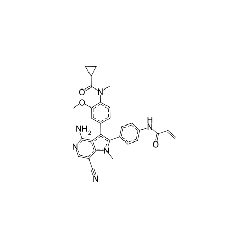 C=CC(=O)Nc1ccc(-c2c(-c3ccc(N(C)C(=O)C4CC4)c(OC)c3)c3c(N)ncc(C#N)c3n2C)cc1